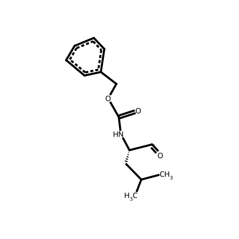 CC(C)C[C@@H]([C]=O)NC(=O)OCc1ccccc1